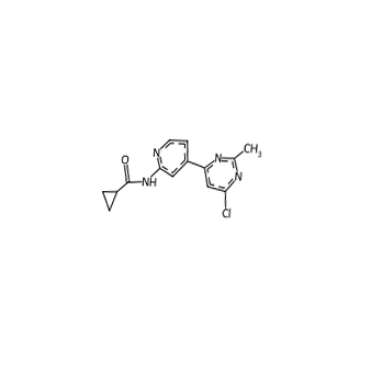 Cc1nc(Cl)cc(-c2ccnc(NC(=O)C3CC3)c2)n1